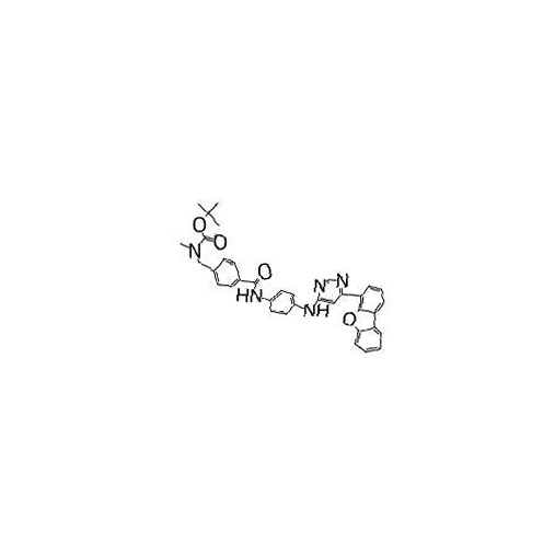 CN(Cc1ccc(C(=O)Nc2ccc(Nc3cc(-c4cccc5c4oc4ccccc45)ncn3)cc2)cc1)C(=O)OC(C)(C)C